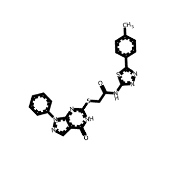 Cc1ccc(-c2nnc(NC(=O)CSc3nc4c(cnn4-c4ccccc4)c(=O)[nH]3)s2)cc1